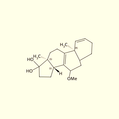 COC1CC2CCC=C[C@]2(C)C2=C1[C@@H]1CCC(O)(O)[C@@]1(C)CC2